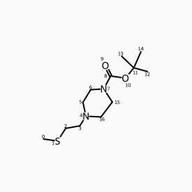 CSCCN1CCN(C(=O)OC(C)(C)C)CC1